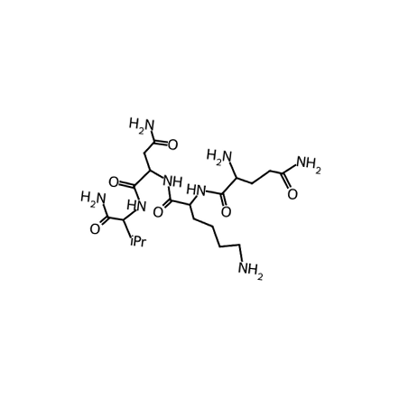 CC(C)C(NC(=O)C(CC(N)=O)NC(=O)C(CCCCN)NC(=O)C(N)CCC(N)=O)C(N)=O